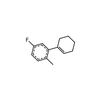 Cc1ccc(F)cc1C1=CCCCC1